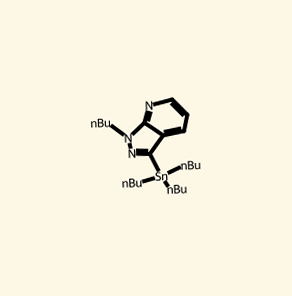 CCCCn1n[c]([Sn]([CH2]CCC)([CH2]CCC)[CH2]CCC)c2cccnc21